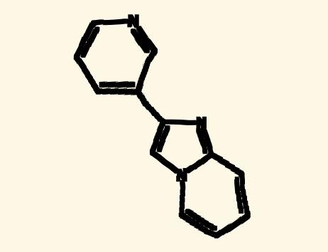 c1cncc(-c2cn3ccccc3n2)c1